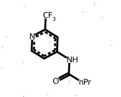 CCCC(=O)Nc1ccnc(C(F)(F)F)c1